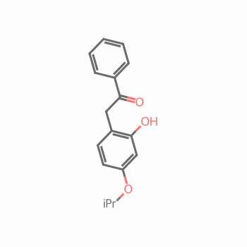 CC(C)Oc1ccc(CC(=O)c2ccccc2)c(O)c1